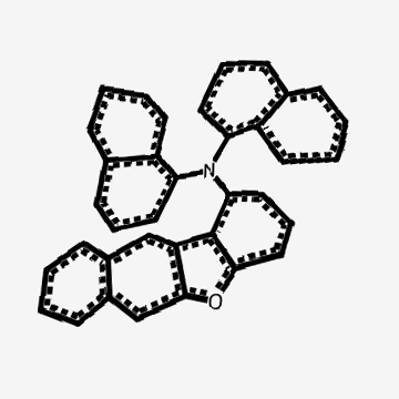 c1ccc2cc3c(cc2c1)oc1cccc(N(c2cccc4ccccc24)c2cccc4ccccc24)c13